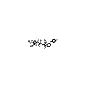 CC(=O)c1sc(NC(=O)NC[C@@H](N)C(=O)N2CCC[C@@H](Cc3ccc(F)cc3)C2)nc1C